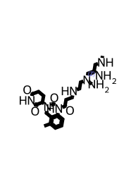 CNC/C(N)=C/N(N)CCNCCC(=O)Nc1cccc(C)c1CN(C=O)C1CCC(=O)NC1=O